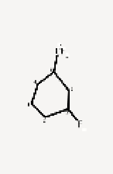 FC1[CH]CCC(C(F)(F)F)C1